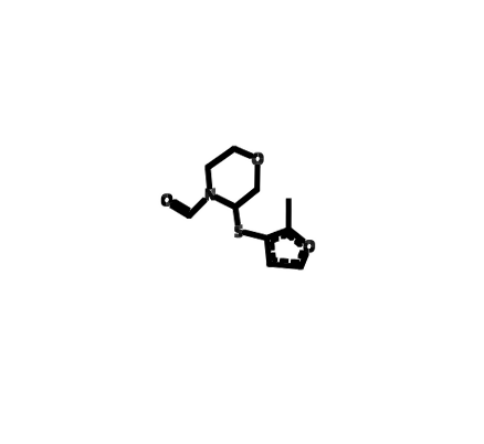 Cc1occc1SC1COCCN1C=O